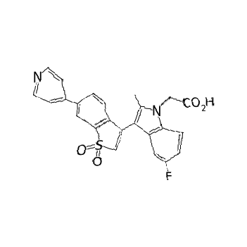 Cc1c(C2=CS(=O)(=O)c3cc(-c4ccncc4)ccc32)c2cc(F)ccc2n1CC(=O)O